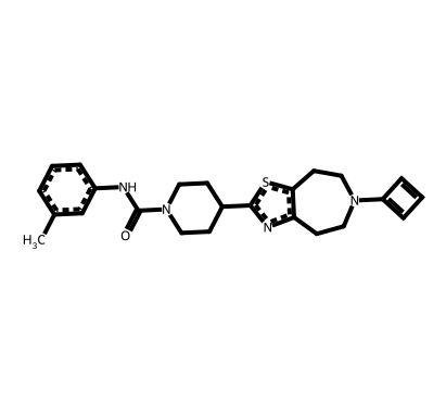 Cc1cccc(NC(=O)N2CCC(c3nc4c(s3)CCN(C3=CC=C3)CC4)CC2)c1